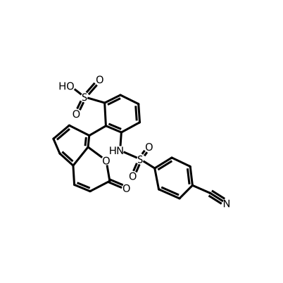 N#Cc1ccc(S(=O)(=O)Nc2cccc(S(=O)(=O)O)c2-c2cccc3ccc(=O)oc23)cc1